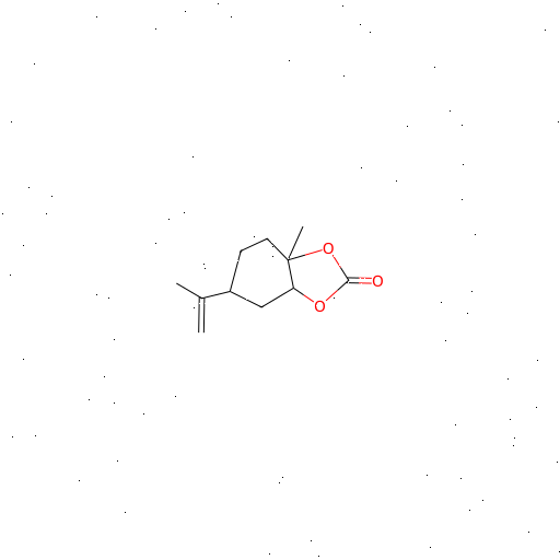 C=C(C)C1CCC2(C)OC(=O)OC2C1